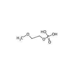 COCCOP(=O)(O)O